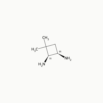 CC1(C)C[C@@H](N)[C@H]1N